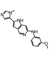 COc1cccc(Nc2cc3[nH]c(-c4cncn4C)cc3cn2)c1